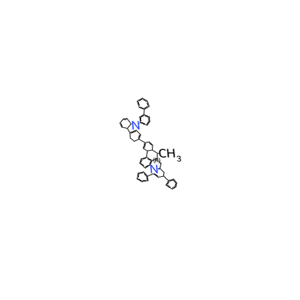 CC1C2C=CC(C3=CC4=C(CC3)C3C=CC=CC3N4c3cccc(-c4ccccc4)c3)=CC2c2ccccc2[C@@H]1CC1=NC(c2ccccc2)=CC(c2ccccc2)C1